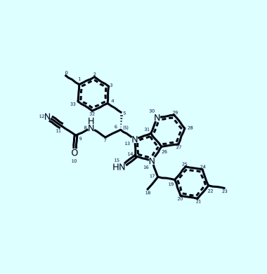 Cc1ccc(C[C@@H](CNC(=O)C#N)n2c(=N)n(C(C)c3ccc(C)cc3)c3cccnc32)cc1